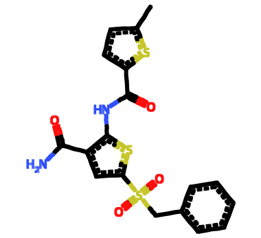 Cc1ccc(C(=O)Nc2sc(S(=O)(=O)Cc3ccccc3)cc2C(N)=O)s1